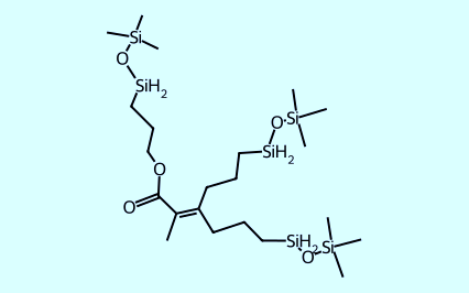 CC(C(=O)OCCC[SiH2]O[Si](C)(C)C)=C(CCC[SiH2]O[Si](C)(C)C)CCC[SiH2]O[Si](C)(C)C